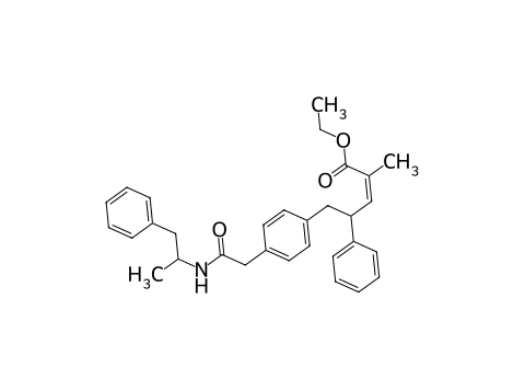 CCOC(=O)C(C)=CC(Cc1ccc(CC(=O)NC(C)Cc2ccccc2)cc1)c1ccccc1